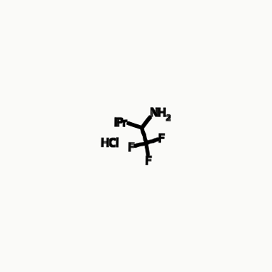 CC(C)C(N)C(F)(F)F.Cl